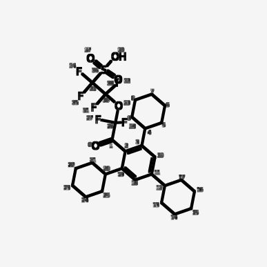 O=C(c1c(C2CCCCC2)cc(C2CCCCC2)cc1C1CCCCC1)C(F)(F)OC(F)(F)C(F)(F)S(=O)(=O)O